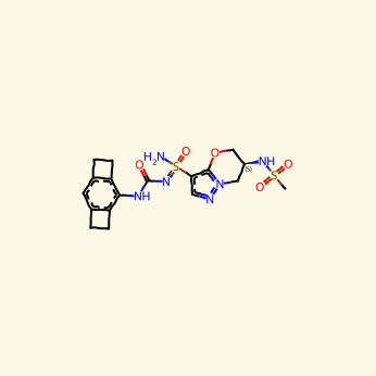 CS(=O)(=O)N[C@@H]1COc2c(S(N)(=O)=NC(=O)Nc3c4c(cc5c3CC5)CC4)cnn2C1